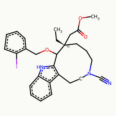 CC[C@@]1(CC(=O)OC)CCCN(C#N)CCc2c([nH]c3ccccc23)C1OCc1ccccc1I